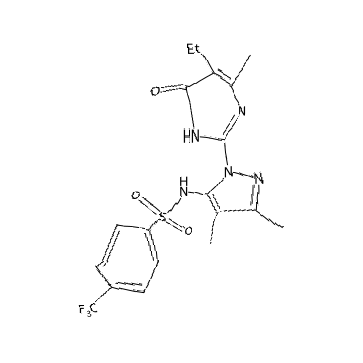 CCc1c(C)nc(-n2nc(C)c(C)c2NS(=O)(=O)c2ccc(C(F)(F)F)cc2)[nH]c1=O